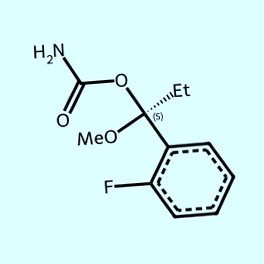 CC[C@](OC)(OC(N)=O)c1ccccc1F